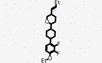 CC/C=C/C1CCC(C2CCC(c3ccc(OCC)c(F)c3F)CC2)OC1